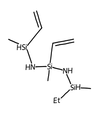 C=C[SiH](C)N[Si](C)(C=C)N[SiH](C)CC